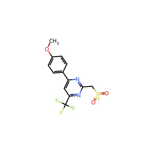 COc1ccc(-c2cc(C(F)(F)F)nc(C[SH](=O)=O)n2)cc1